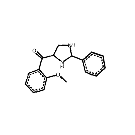 COc1ccccc1C(=O)C1CNC(c2ccccc2)N1